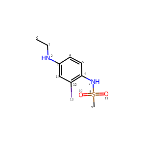 CCNc1ccc(NS(C)(=O)=O)c(I)c1